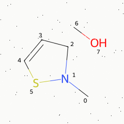 CN1CC=CS1.CO